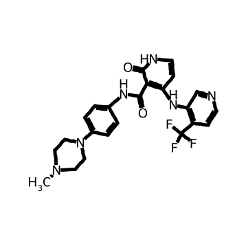 CN1CCN(c2ccc(NC(=O)c3c(Nc4cnccc4C(F)(F)F)cc[nH]c3=O)cc2)CC1